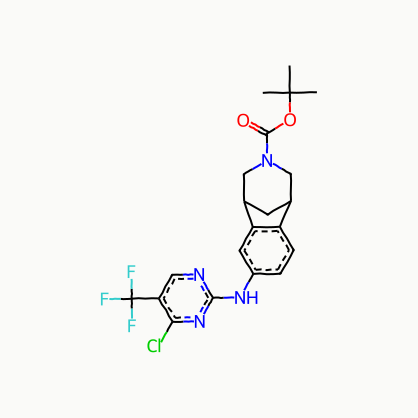 CC(C)(C)OC(=O)N1CC2CC(C1)c1cc(Nc3ncc(C(F)(F)F)c(Cl)n3)ccc12